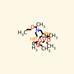 CCCOC(C)N(CCPC(C)(OCC)OCC)CCPC(C)(OCC)OCC